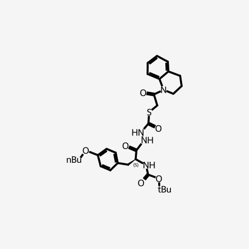 CCCCOc1ccc(C[C@H](NC(=O)OC(C)(C)C)C(=O)NNC(=O)SCC(=O)N2CCCc3ccccc32)cc1